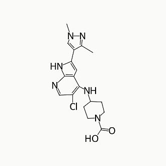 Cc1nn(C)cc1-c1cc2c(NC3CCN(C(=O)O)CC3)c(Cl)cnc2[nH]1